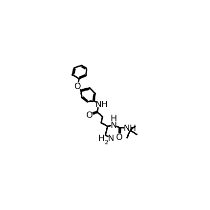 CC(C)(C)NC(=O)NC(CN)CCC(=O)Nc1ccc(Oc2ccccc2)cc1